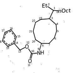 CCCCCCCCC(CC)C1CCCCC(NC(=O)OCc2ccccc2)CCCC1